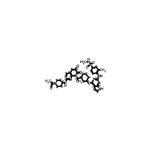 CNS(=O)(=O)c1ccc(Nc2nc(OC3CCCC(C(C)n4c(=O)c(Cl)cc5cnc(NC6CCN(C(C)=O)CC6)nc54)C3)c3nc[nH]c3n2)c(C)c1